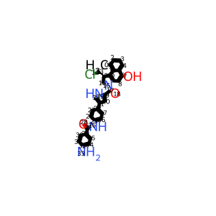 Cc1cccc2c(O)cc3c(c12)[C@H](CCl)CN3C(=O)c1cc(-c2ccc(NC(=O)c3ccc(N)cc3)cc2)c[nH]1